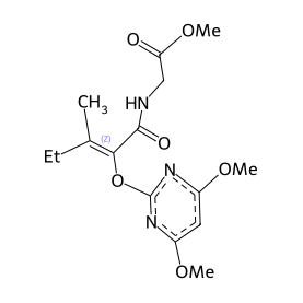 CC/C(C)=C(\Oc1nc(OC)cc(OC)n1)C(=O)NCC(=O)OC